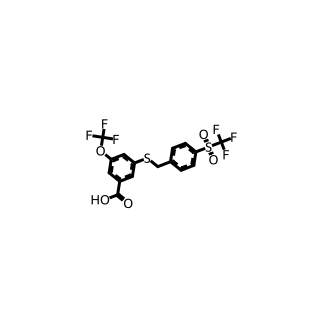 O=C(O)c1cc(OC(F)(F)F)cc(SCc2ccc(S(=O)(=O)C(F)(F)F)cc2)c1